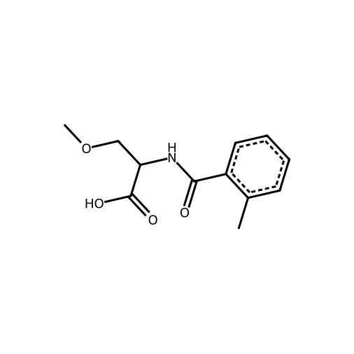 COCC(NC(=O)c1ccccc1C)C(=O)O